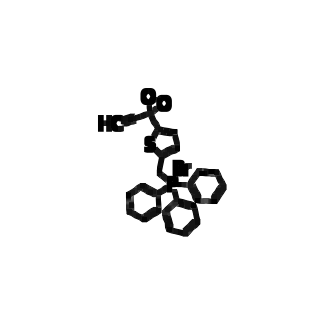 C#CC1(c2ccc(CP(Br)(c3ccccc3)(c3ccccc3)c3ccccc3)s2)OO1